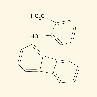 O=C(O)c1ccccc1O.c1ccc2c(c1)-c1ccccc1-2